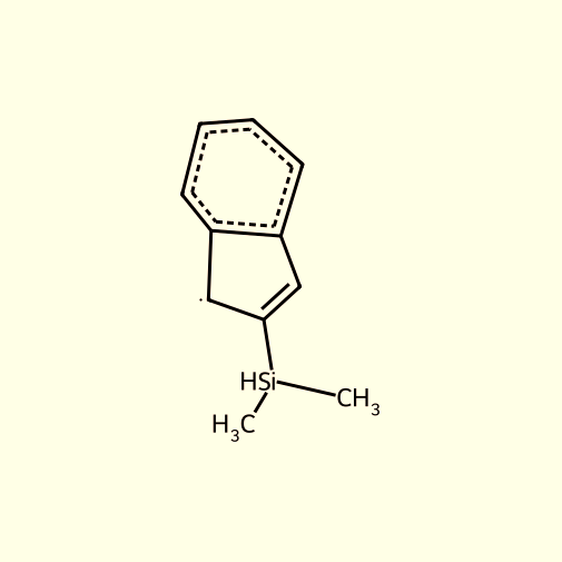 C[SiH](C)C1=Cc2ccccc2[CH]1